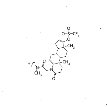 CN(C)C(=O)CN1C(=O)CCC2(C)C1=CCC1C3CC=C(OS(=O)(=O)C(F)(F)F)C3(C)CCC12